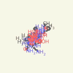 CC[C@H](C)[C@H](NC(=O)[C@@H](NC(=O)[C@H](Cc1ccc(O)cc1)NC(=O)[C@H](CC(N)=O)NC(=O)CNC(=O)[C@H](Cc1ccccc1)NC(=O)[C@@H](N)C(C)C)C(C)C)C(=O)N[C@@H](CCC(N)=O)C(=O)N[C@@H](CCCCN)C(=O)N[C@@H](Cc1ccccc1)C(=O)N[C@@H](Cc1ccccc1)C(=O)N[C@@H](CCC(=O)O)C(=O)N[C@@H](Cc1ccccc1)C(=O)O